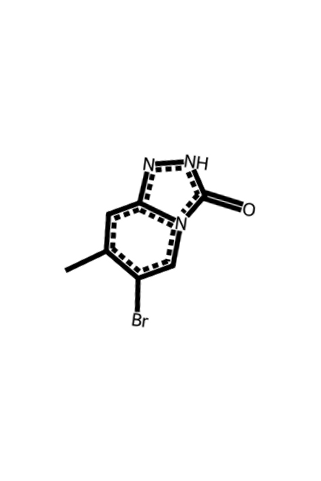 Cc1cc2n[nH]c(=O)n2cc1Br